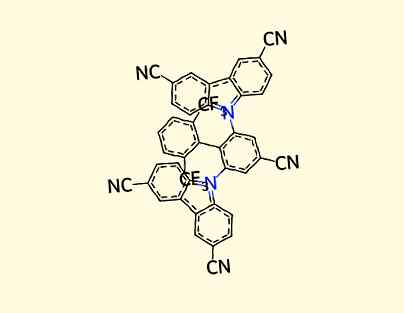 N#Cc1cc(-n2c3ccc(C#N)cc3c3cc(C#N)ccc32)c(-c2c(C(F)(F)F)cccc2C(F)(F)F)c(-n2c3ccc(C#N)cc3c3cc(C#N)ccc32)c1